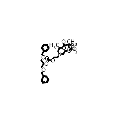 CC(CN(CCOC=O)CCOC(=O)OC(COCc1ccccc1)COCc1ccccc1)OC(=O)C(C)(C)Br